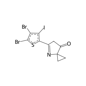 O=C1CC(c2sc(Br)c(Br)c2I)=NC12CC2